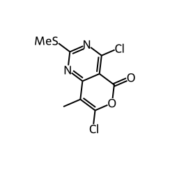 CSc1nc(Cl)c2c(=O)oc(Cl)c(C)c2n1